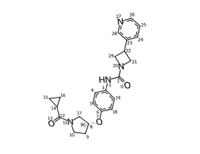 O=C(Nc1ccc(O[C@@H]2CCN(C(=O)C3CC3)C2)cc1)N1CC(c2cccnc2)C1